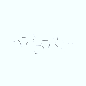 CCN=C(c1ccc(Cl)cc1Cl)N1CCCc2cc(C3=NN(CC)C(C=O)SC3(C)C)ccc21